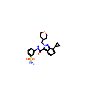 NS(=O)(=O)c1cccc(NC(=O)c2c3cccc(C4CC4)c3nn2CC2CCOCC2)c1